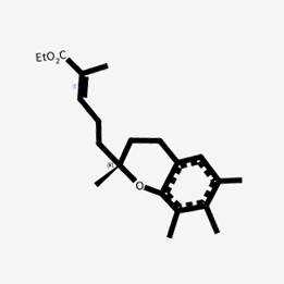 CCOC(=O)/C(C)=C/CC[C@]1(C)CCc2cc(C)c(C)c(C)c2O1